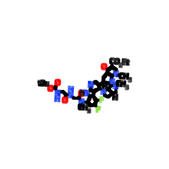 CCOC(=O)c1cn(C)c2ncc(-c3cnc4[nH]c5c(N(C)C(=O)CNC(=O)CNC(=O)OC(C)(C)C)cc(F)c(F)c5c4c3N3CC[C@H]4CN(C)C[C@H]43)cc2c1=O